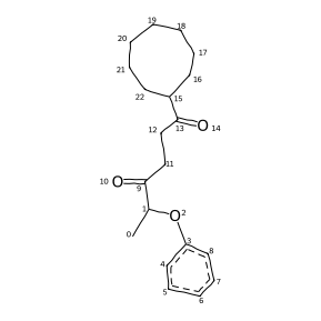 CC(Oc1ccccc1)C(=O)CCC(=O)C1CCCCCCC1